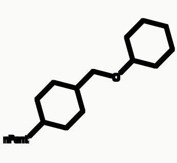 CCCCCC1CCC(COC2CCCCC2)CC1